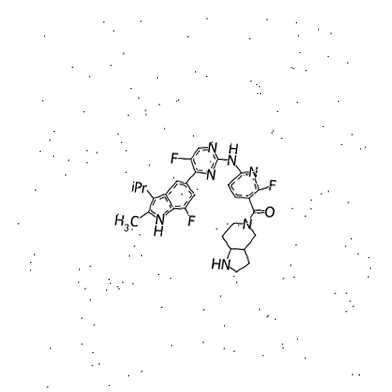 Cc1[nH]c2c(F)cc(-c3nc(Nc4ccc(C(=O)N5CCC6NCCC6C5)c(F)n4)ncc3F)cc2c1C(C)C